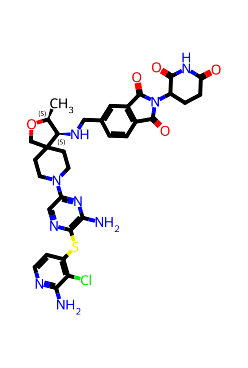 C[C@@H]1OCC2(CCN(c3cnc(Sc4ccnc(N)c4Cl)c(N)n3)CC2)[C@@H]1NCc1ccc2c(c1)C(=O)N(C1CCC(=O)NC1=O)C2=O